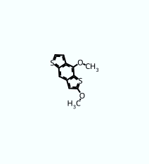 COc1cc2cc3sccc3c(OC)c2s1